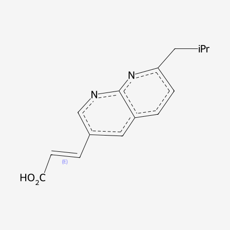 CC(C)Cc1ccc2cc(/C=C/C(=O)O)cnc2n1